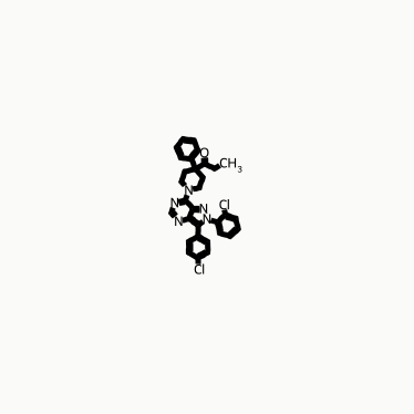 CCC(=O)C1(c2ccccc2)CCN(c2ncnc3c(-c4ccc(Cl)cc4)n(-c4ccccc4Cl)nc23)CC1